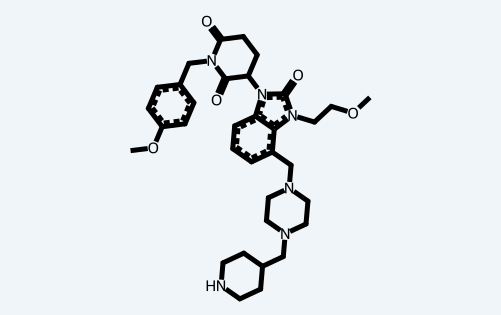 COCCn1c(=O)n(C2CCC(=O)N(Cc3ccc(OC)cc3)C2=O)c2cccc(CN3CCN(CC4CCNCC4)CC3)c21